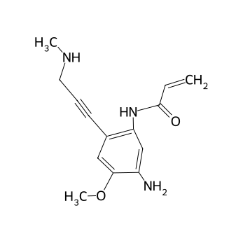 C=CC(=O)Nc1cc(N)c(OC)cc1C#CCNC